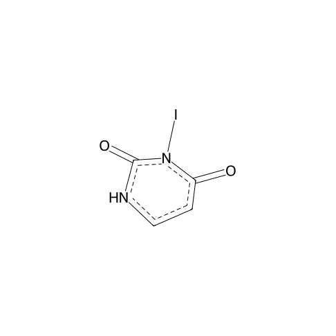 O=c1cc[nH]c(=O)n1I